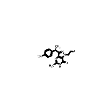 Cc1nc2c([C@H](C)c3ccc(C(C)(C)C)cc3)nn(CCF)c2c(=O)[nH]1